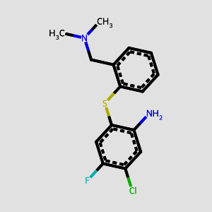 CN(C)Cc1ccccc1Sc1cc(F)c(Cl)cc1N